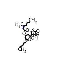 C=CCCC[C@@H]1CC(OC(=O)/C=C(/C)CCC=C)CC(O)(C2CSC(=O)N2)O1